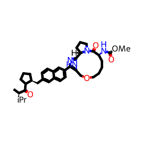 COC(=O)N[C@H]1CCCCOCc2[nH]c(nc2-c2ccc3cc(C[C@@H]4CCCC4C(=O)[C@@H](C)C(C)C)ccc3c2)[C@@H]2CCCN2C1=O